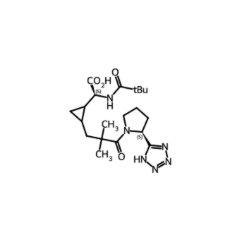 CC(C)(C)C(=O)N[C@H](C(=O)O)C1CC1CC(C)(C)C(=O)N1CCC[C@H]1c1nnn[nH]1